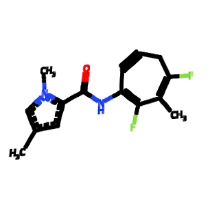 CC1=C(F)CC#CC(NC(=O)c2cc(C)cn2C)=C1F